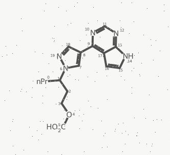 CCCC(CCOC(=O)O)n1cc(-c2ncnc3[nH]ccc23)cn1